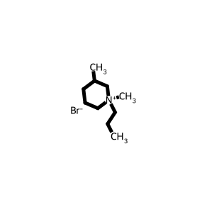 CCC[N+]1(C)CCCC(C)C1.[Br-]